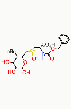 CCCCC1C(C[S+]([O-])CC(NC(=O)OCc2ccccc2)C(=O)O)OC(O)C(O)C1O